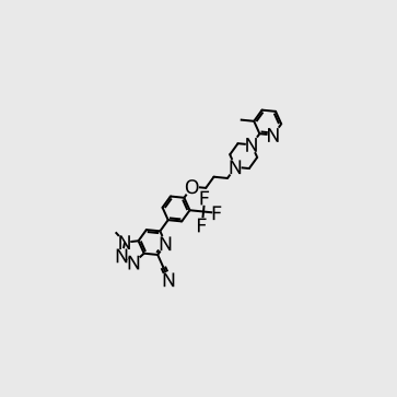 Cc1cccnc1N1CCN(CCCOc2ccc(-c3cc4c(nnn4C)c(C#N)n3)cc2C(F)(F)F)CC1